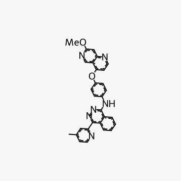 COc1cc2nccc(Oc3ccc(Nc4nnc(-c5cc(C)ccn5)c5ccccc45)cc3)c2cn1